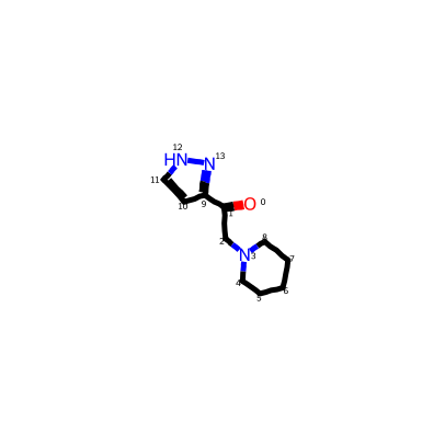 O=C(CN1CCCCC1)c1cc[nH]n1